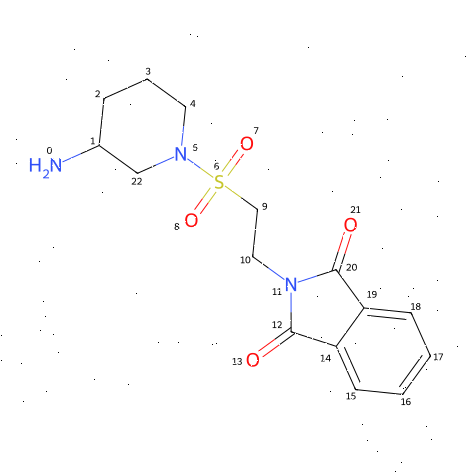 NC1CCCN(S(=O)(=O)CCN2C(=O)c3ccccc3C2=O)C1